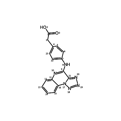 O=C(O)Cc1ccc(Nc2nc3ccccc3n3nnnc23)cc1